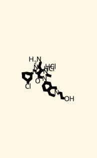 Cc1nc2c(CN)nn(-c3cccc(Cl)c3)c2c(=O)n1-c1ccc2c(c1)CN(CCO)CC2.Cl.Cl